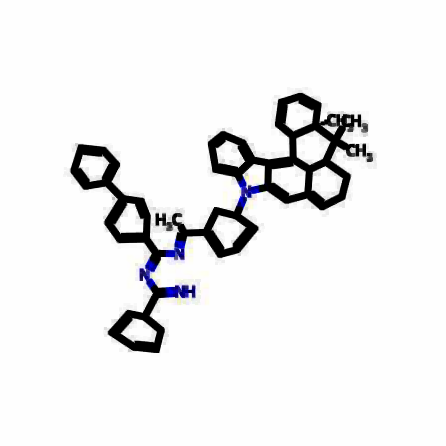 C/C(=N\C(=N/C(=N)C1C=CC=CC1)c1ccc(-c2ccccc2)cc1)C1=CC=CC(n2c3c(c4ccccc42)=C2C4C(=CCCC4C(C)(C)[C@]4(C)C=CC=CC24)C=3)C1